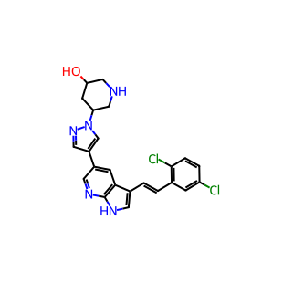 OC1CNCC(n2cc(-c3cnc4[nH]cc(/C=C/c5cc(Cl)ccc5Cl)c4c3)cn2)C1